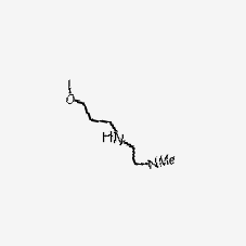 CNCCNCCCOI